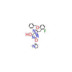 CN1CCC[C@H]1COc1nc(O)c2ncc(Cc3c(F)cccc3OCc3ccccc3)n2n1